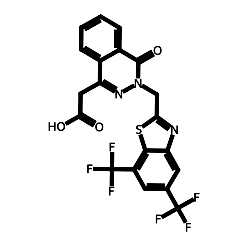 O=C(O)Cc1nn(Cc2nc3cc(C(F)(F)F)cc(C(F)(F)F)c3s2)c(=O)c2ccccc12